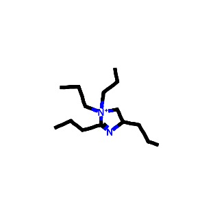 CCCC1=NC(CCC)C[N+]1(CCC)CCC